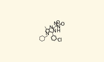 Cc1cn(CC2CCCCC2)c2c(-c3cccc(Cl)c3)nc(-c3noc(=O)[nH]3)nc12